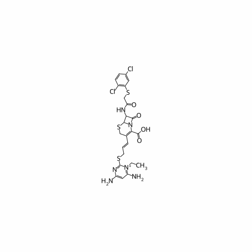 CC[n+]1c(N)cc(N)nc1SCC=CC1=C(C(=O)O)N2C(=O)C(NC(=O)CSc3cc(Cl)ccc3Cl)C2SC1